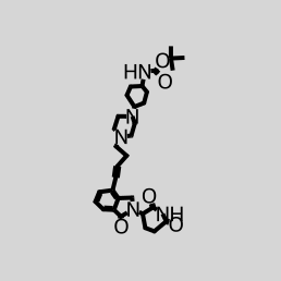 CC(C)(C)OC(=O)NC1CCC(N2CCN(CCC#Cc3cccc4c3CN(C3CCC(=O)NC3=O)C4=O)CC2)CC1